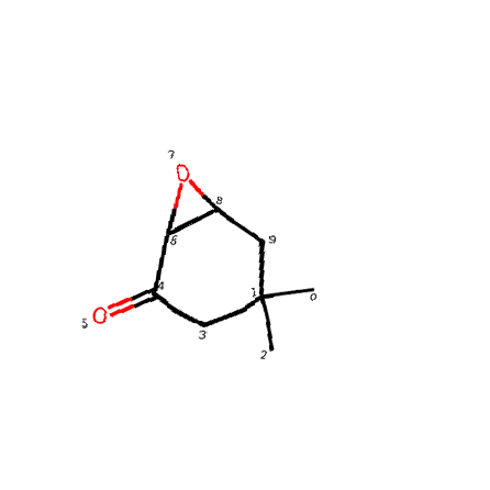 CC1(C)CC(=O)C2OC2C1